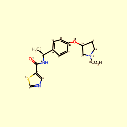 C[C@H](NC(=O)c1cncs1)c1ccc(OC2CCN(C(=O)O)C2)cc1